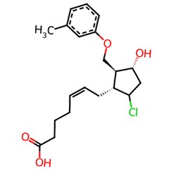 Cc1cccc(OC[C@H]2[C@H](O)CC(Cl)[C@@H]2C/C=C\CCCC(=O)O)c1